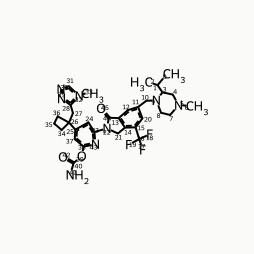 CC(C)C1CN(C)CCN1Cc1cc2c(c(C(F)(F)F)c1)CN(c1cc(C3(Cc4nncn4C)CCC3)cc(OC(N)=O)n1)C2=O